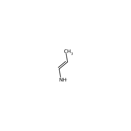 C/C=C/[NH]